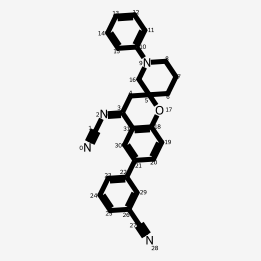 N#C/N=C1/CC2(CCCN(c3ccccc3)C2)Oc2ccc(-c3cccc(C#N)c3)cc21